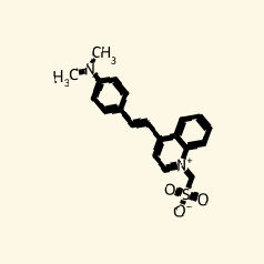 CN(C)c1ccc(/C=C/c2cc[n+](CS(=O)(=O)[O-])c3ccccc23)cc1